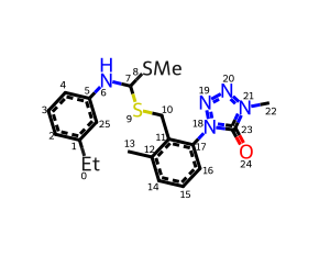 CCc1cccc(NC(SC)SCc2c(C)cccc2-n2nnn(C)c2=O)c1